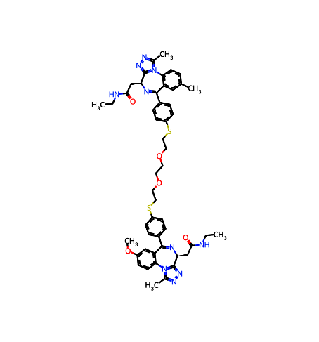 CCNC(=O)C[C@@H]1N=C(c2ccc(SCCOCCOCCSc3ccc(C4=N[C@@H](CC(=O)NCC)c5nnc(C)n5-c5ccc(OC)cc54)cc3)cc2)c2cc(C)ccc2-n2c(C)nnc21